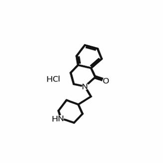 Cl.O=C1c2ccccc2CCN1CC1CCNCC1